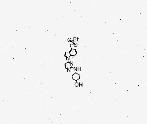 CCS(=O)(=O)Cc1cccc2c1ccn2-c1ccnc(N[C@H]2CC[C@H](O)CC2)n1